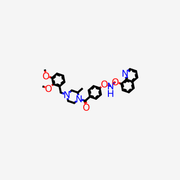 COc1cccc(CN2CCN(C(=O)c3ccc(ONOc4cccc5cccnc45)cc3)C(C)C2)c1OC